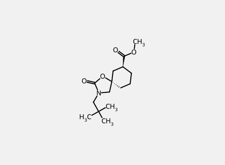 COC(=O)[C@H]1CCC[C@]2(C1)CN(CC(C)(C)C)C(=O)O2